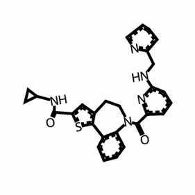 O=C(NC1CC1)c1cc2c(s1)-c1ccccc1N(C(=O)c1cccc(NCc3ccccn3)n1)CC2